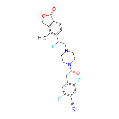 Cc1c(C(F)CN2CCN(C(=O)Cc3cc(F)c(C#N)cc3F)CC2)ccc2c1COC2=O